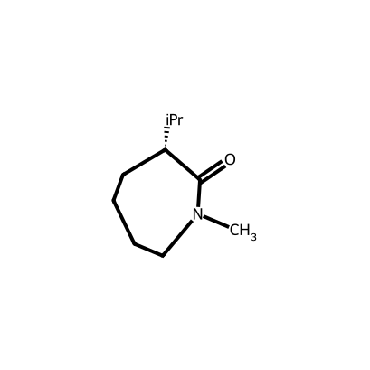 CC(C)[C@H]1CCCCN(C)C1=O